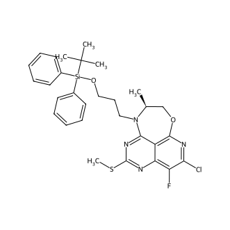 CSc1nc2c3c(nc(Cl)c(F)c3n1)OC[C@H](C)N2CCCO[Si](c1ccccc1)(c1ccccc1)C(C)(C)C